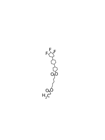 C=CC(=O)OCCCCCCC(=O)OC1CCC(C2CCC(C3CC(F)C(F)C(F)C3)CC2)CC1